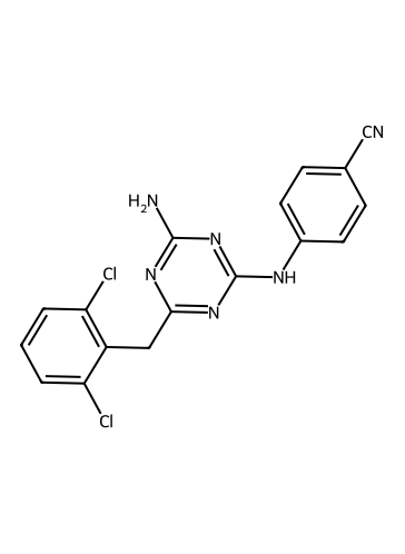 N#Cc1ccc(Nc2nc(N)nc(Cc3c(Cl)cccc3Cl)n2)cc1